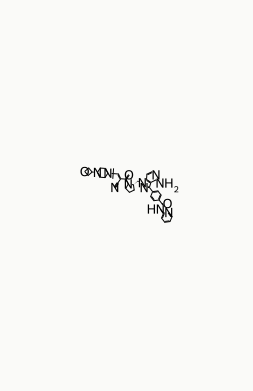 CC(C)(C=C(C#N)C(=O)N1CCC[C@H]1Cn1nc(-c2ccc(C(=O)Nc3ccccn3)cc2)c2c(N)nccc21)N1CCN(C2COC2)CC1